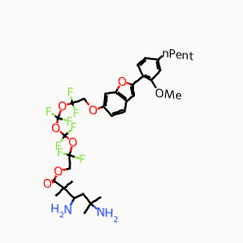 CCCCCc1ccc(-c2cc3ccc(OCC(F)(F)OC(F)(F)OC(F)(F)OC(F)(F)COC(=O)C(C)(C)C(N)CC(C)(C)N)cc3o2)c(OC)c1